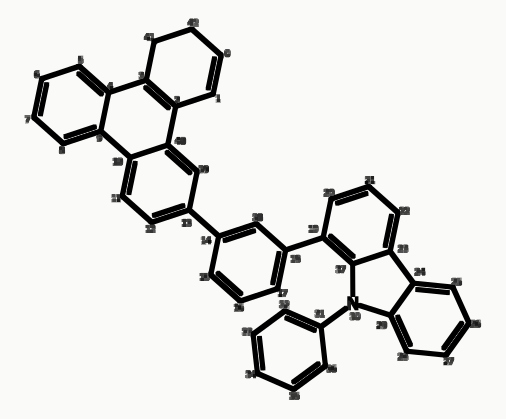 C1=Cc2c(c3ccccc3c3ccc(-c4cccc(-c5cccc6c7ccccc7n(-c7ccccc7)c56)c4)cc23)CC1